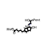 CCCCC[C@H](O)/C=C/[C@H]1[C@H](O)CC2C=C(CCCCC(=O)OC)C[C@@H]21